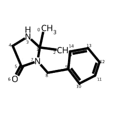 CC1(C)NCC(=O)N1Cc1ccccc1